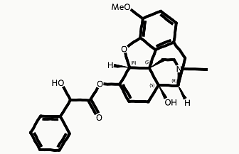 COc1ccc2c3c1O[C@H]1C(OC(=O)C(O)c4ccccc4)=CC[C@@]4(O)[C@@H](C2)N(C)CC[C@]314